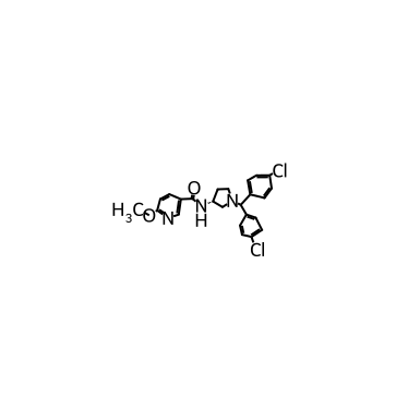 COc1ccc(C(=O)N[C@@H]2CCN(C(c3ccc(Cl)cc3)c3ccc(Cl)cc3)C2)cn1